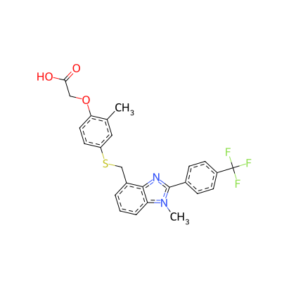 Cc1cc(SCc2cccc3c2nc(-c2ccc(C(F)(F)F)cc2)n3C)ccc1OCC(=O)O